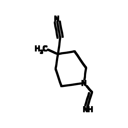 CC1(C#N)CCN(C=N)CC1